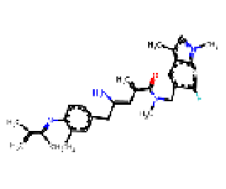 C=C(/C=C(\N)Cc1ccc(/N=C(\C)C(=C)C)c(C)c1)C(=O)N(C)Cc1cc2c(C)cn(C)c2cc1F